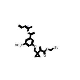 C=C/C=C(/C)SC(=C)c1cc(OCC2(C(=C)C(=O)OCC(C)(C)C)CC2)cc(C(=O)O)c1